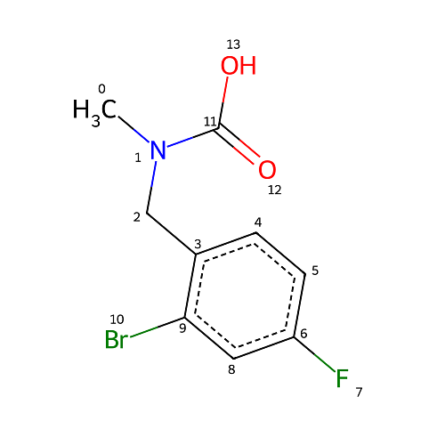 CN(Cc1ccc(F)cc1Br)C(=O)O